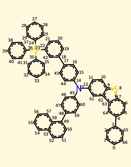 c1ccc(-c2ccc3sc4ccc(N(c5ccc(-c6cccc(S(c7ccccc7)(c7ccccc7)c7ccccc7)c6)cc5)c5ccc(-c6cccc7ccccc67)cc5)cc4c3c2)cc1